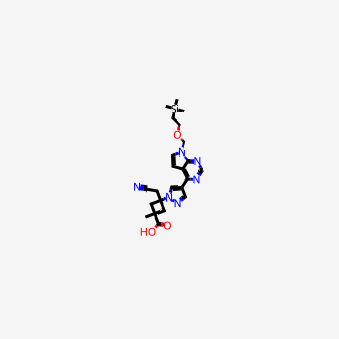 CC1(C(=O)O)CC(CC#N)(n2cc(-c3ncnc4c3ccn4COCC[Si](C)(C)C)cn2)C1